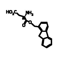 N[C@@H](CC(=O)O)C(=O)OCc1cccc2c1Cc1ccccc1-2